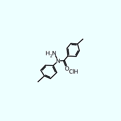 Cc1ccc(C(=O)N(N)c2ccc(C)cc2)cc1.Cl